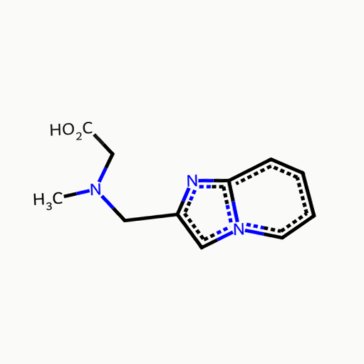 CN(CC(=O)O)Cc1cn2ccccc2n1